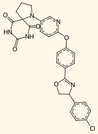 O=C1NC(=O)C2(CCCN2c2ccc(Oc3ccc(C4=NC(c5ccc(Cl)cc5)CO4)cc3)nc2)C(=O)N1